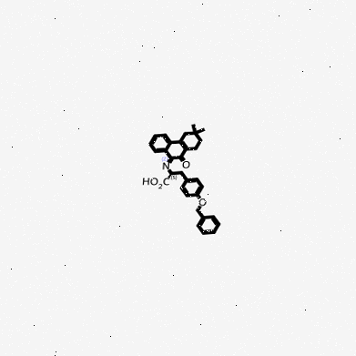 CC1(C)CCC2=C(C1)c1ccccc1/C(=N/[C@@H](Cc1ccc(OCc3ccccc3)cc1)C(=O)O)C2=O